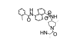 CN[C@@H](C)C(=O)N1CC[C@@H](NS(=O)(=O)c2cccc3c(NC(=O)c4ccccc4C)cccc23)[C@H](C)C1